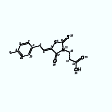 Cc1ccc(CC=C2SC(=S)N(CCC(=O)O)C2=O)cc1